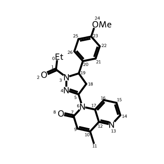 CCC(=O)N1N=C(n2c(=O)cc(C)c3ncccc32)CC1c1ccc(OC)cc1